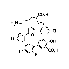 NCCCCC(N)C(=O)O.O=C(O)c1cc(-c2ccc(F)cc2F)ccc1O.O=C1CCC(c2ccc(-c3ccc(Cl)cc3)o2)O1